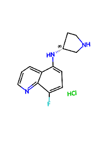 Cl.Fc1ccc(N[C@@H]2CCNC2)c2cccnc12